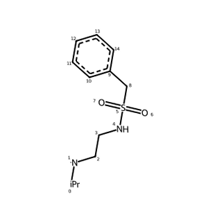 CC(C)[N]CCNS(=O)(=O)Cc1ccccc1